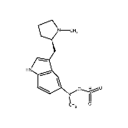 CN(O[SH](=O)=O)c1ccc2[nH]cc(C[C@H]3CCCN3C)c2c1